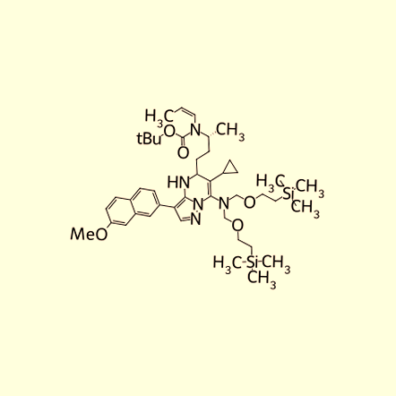 C/C=C\N(C(=O)OC(C)(C)C)[C@H](C)CCC1Nc2c(-c3ccc4ccc(OC)cc4c3)cnn2C(N(COCC[Si](C)(C)C)COCC[Si](C)(C)C)=C1C1CC1